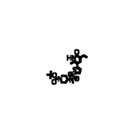 CCc1cc(-c2ccc(S(=O)(=O)N(C)C3CCN(C(=O)OC(C)(C)C)CC3)s2)c(C)[nH]c1=O